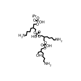 CC(C)OP(=O)(O)OCC(CCCCN)COP(=O)(O)OCC(CCCCN)COP(=O)(O)OCC(CO)CCCCN